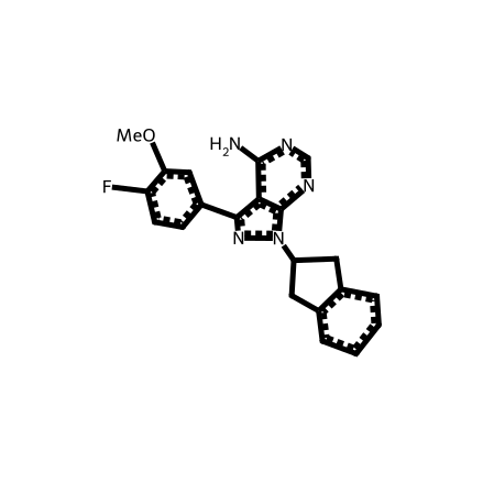 COc1cc(-c2nn(C3Cc4ccccc4C3)c3ncnc(N)c23)ccc1F